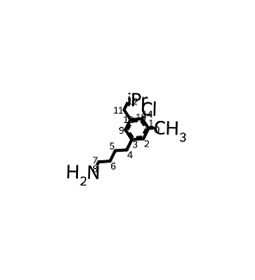 Cc1cc(CCCCN)cc(CC(C)C)c1Cl